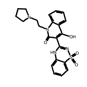 O=c1c(C2=NS(=O)(=O)c3ccccc3N2)c(O)c2ccccc2n1CCN1CCCC1